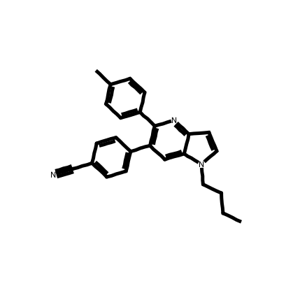 CCCCn1ccc2nc(-c3ccc(C)cc3)c(-c3ccc(C#N)cc3)cc21